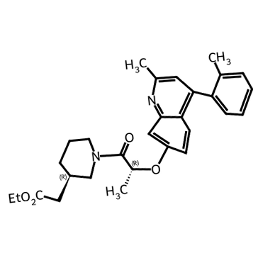 CCOC(=O)C[C@H]1CCCN(C(=O)[C@@H](C)Oc2ccc3c(-c4ccccc4C)cc(C)nc3c2)C1